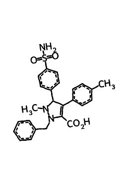 Cc1ccc(C2=C(C(=O)O)N(Cc3ccccc3)N(C)C2c2ccc(S(N)(=O)=O)cc2)cc1